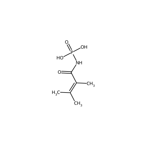 CC(C)=C(C)C(=O)NP(=O)(O)O